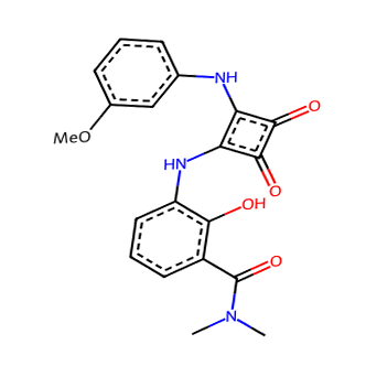 COc1cccc(Nc2c(Nc3cccc(C(=O)N(C)C)c3O)c(=O)c2=O)c1